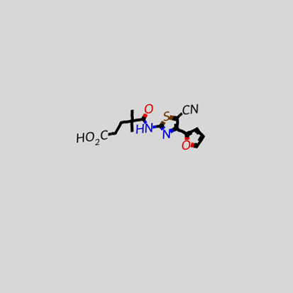 CC(C)(CCC(=O)O)C(=O)Nc1nc(-c2ccco2)c(C#N)s1